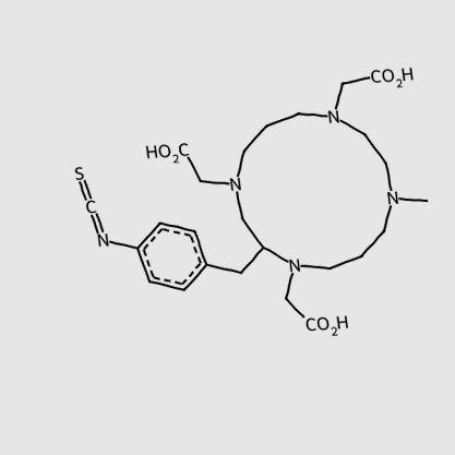 CN1CCCN(CC(=O)O)C(Cc2ccc(N=C=S)cc2)CN(CC(=O)O)CCCN(CC(=O)O)CC1